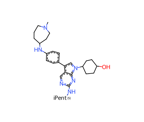 CCC[C@H](C)Nc1ncc2c(-c3ccc(NC4CCCN(C)CC4)cc3)cn(C3CCC(O)CC3)c2n1